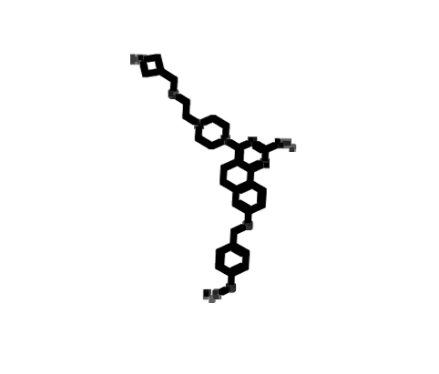 Nc1nc2c(c(N3CCN(CCOCC4CNC4)CC3)n1)CCc1cc(OCc3ccc(OC(F)(F)F)cc3)ccc1-2